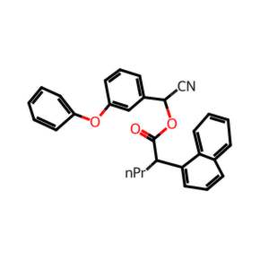 CCCC(C(=O)OC(C#N)c1cccc(Oc2ccccc2)c1)c1cccc2ccccc12